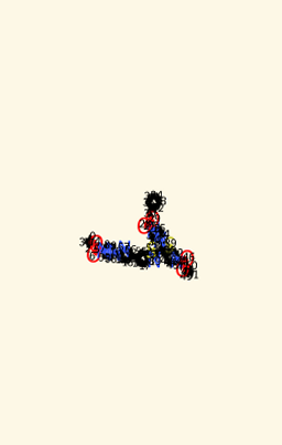 CC(C)(C)OC(=O)N1CCN(c2ccc(-c3ccc4nc(-c5c(N6CCN(C(=O)OCc7ccccc7)CC6)sc6c5CCN(C(=O)OC(C)(C)C)C6)sc4c3)cn2)CC1